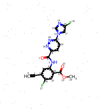 C#Cc1cc(NC(=O)c2ccc(-n3cnc(F)c3)nn2)c(C(=O)OC)cc1F